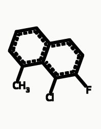 Cc1cccc2ccc(F)c(Cl)c12